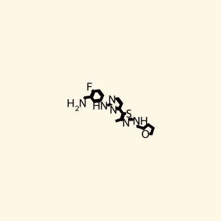 Cc1nc(NCC2CCCO2)sc1-c1ccnc(Nc2ccc(F)c(CN)c2)n1